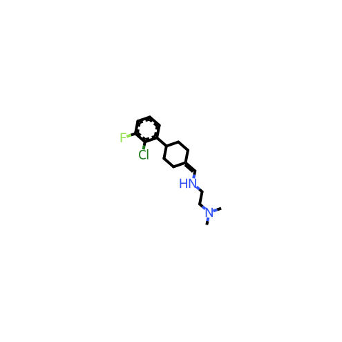 CN(C)CCNC=C1CCC(c2cccc(F)c2Cl)CC1